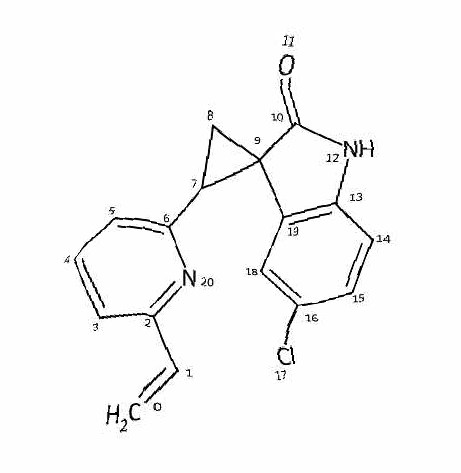 C=Cc1cccc(C2CC23C(=O)Nc2ccc(Cl)cc23)n1